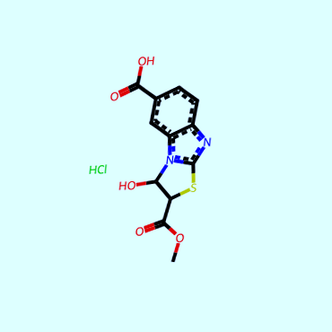 COC(=O)C1Sc2nc3ccc(C(=O)O)cc3n2C1O.Cl